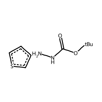 CC(C)(C)OC(=O)NN.c1ccsc1